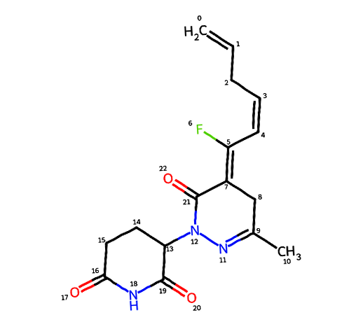 C=CC/C=C\C(F)=C1/CC(C)=NN(C2CCC(=O)NC2=O)C1=O